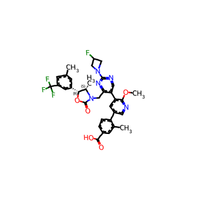 COc1ncc(-c2ccc(C(=O)O)cc2C)cc1-c1cnc(N2CC(F)C2)nc1CN1C(=O)O[C@H](c2cc(C)cc(C(F)(F)F)c2)[C@@H]1C